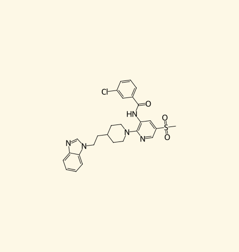 CS(=O)(=O)c1cnc(N2CCC(CCn3cnc4ccccc43)CC2)c(NC(=O)c2cccc(Cl)c2)c1